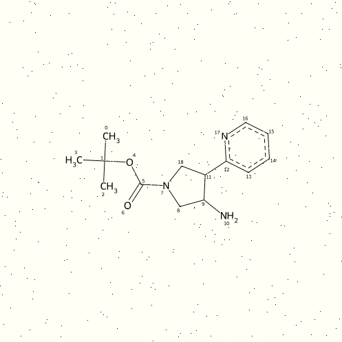 CC(C)(C)OC(=O)N1CC(N)C(c2ccccn2)C1